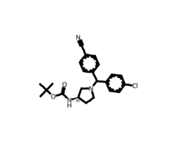 CC(C)(C)OC(=O)N[C@@H]1CCN(C(c2ccc(Cl)cc2)c2ccc(C#N)cc2)C1